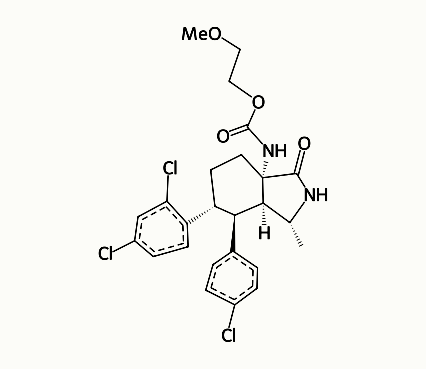 COCCOC(=O)N[C@@]12CC[C@@H](c3ccc(Cl)cc3Cl)[C@H](c3ccc(Cl)cc3)[C@@H]1[C@@H](C)NC2=O